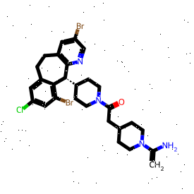 C=C(N)N1CCC(CC(=O)N2CCC([C@H]3c4ncc(Br)cc4CCc4cc(Cl)cc(Br)c43)CC2)CC1